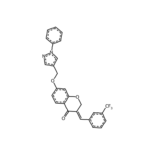 O=C1/C(=C/c2cccc(C(F)(F)F)c2)COc2cc(OCc3cnn(-c4ccccc4)c3)ccc21